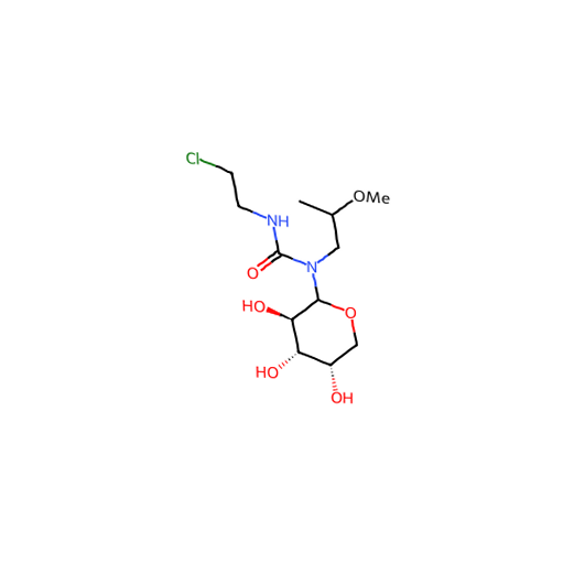 COC(C)CN(C(=O)NCCCl)C1OC[C@H](O)[C@H](O)[C@H]1O